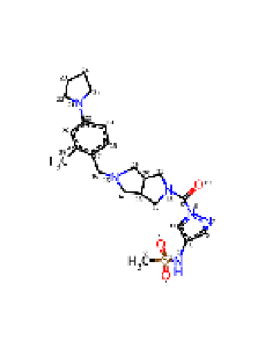 CS(=O)(=O)Nc1cnn(C(=O)N2CC3CN(Cc4ccc(N5CCCC5)cc4C(F)(F)F)CC3C2)c1